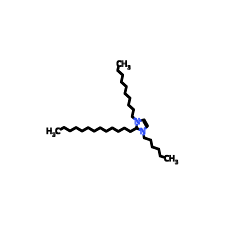 CCCCCCCCCCCCCC1N(CCCCCC)C=CN1CCCCCCCCCC